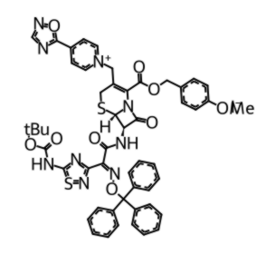 COc1ccc(COC(=O)C2=C(C[n+]3ccc(-c4ncno4)cc3)CS[C@H]3[C@H](NC(=O)C(=NOC(c4ccccc4)(c4ccccc4)c4ccccc4)c4nsc(NC(=O)OC(C)(C)C)n4)C(=O)N23)cc1.[I-]